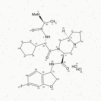 CN[C@@H](C)C(=O)N[C@H](C(=O)N1C[C@H]2CCCN2C[C@H]1C(=O)NC1COc2cc(F)ccc21)C1CCCCC1.Cl.Cl